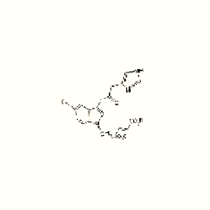 Cn1cc(CC(=O)Cc2c[nH]cn2)c2cc(F)ccc21.O=C(O)C=CC(=O)O